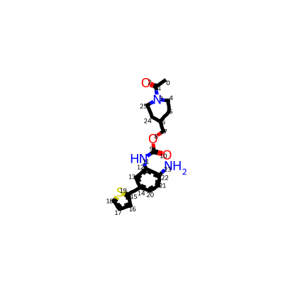 CC(=O)N1CCC(COC(=O)Nc2cc(-c3cccs3)ccc2N)CC1